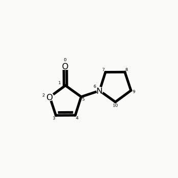 O=C1OC=CC1N1CCCC1